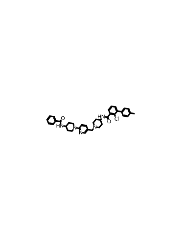 Cc1ccc(-c2cccc(C(=O)NC3CCN(Cc4ccc(N5CCC(NC(=O)c6ccccc6)CC5)nc4)CC3)c2Cl)cc1